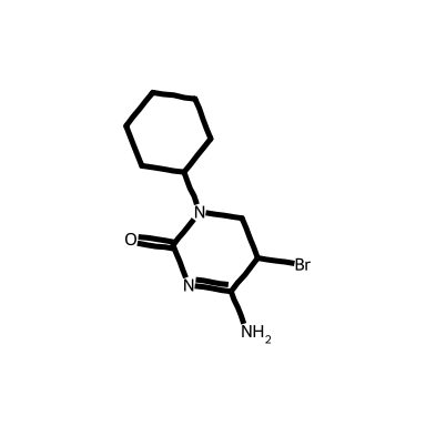 NC1=NC(=O)N(C2CCCCC2)CC1Br